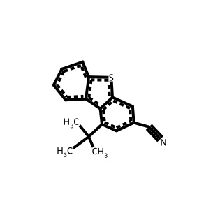 CC(C)(C)c1cc(C#N)cc2sc3ccccc3c12